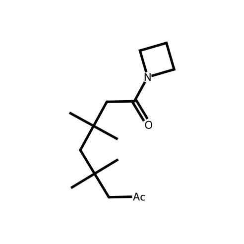 CC(=O)CC(C)(C)CC(C)(C)CC(=O)N1CCC1